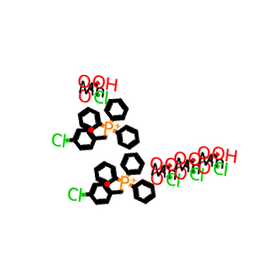 Clc1ccc(C[P+](c2ccccc2)(c2ccccc2)c2ccccc2)cc1.Clc1ccc(C[P+](c2ccccc2)(c2ccccc2)c2ccccc2)cc1.[O]=[Mn](=[O])([O-])[Cl].[O]=[Mn](=[O])([O-])[Cl].[O]=[Mn](=[O])([OH])[Cl].[O]=[Mn](=[O])([OH])[Cl]